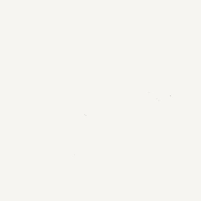 COc1ccc(NC/C(=C/c2ccc(C(=O)NO)cc2)COc2cccc3ccccc23)cc1OC